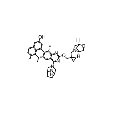 CCc1c(F)ccc2cc(O)cc(-c3c(F)cc4c(N5CC6CCC(C5)N6)nc(OCC5(CN6C[C@@H]7C[C@H]6CO7)CC5)nc4c3F)c12